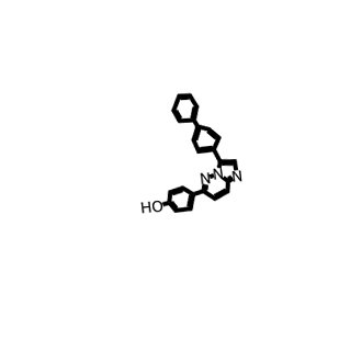 Oc1ccc(-c2ccc3ncc(-c4ccc(-c5ccccc5)cc4)n3n2)cc1